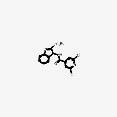 CCOC(=O)C1=Nc2ccccc2C1NC(=O)c1cc(Cl)nc(Cl)c1